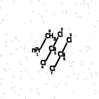 CCCC.[Cl][Ca][Cl].[Cl][Ca][Cl]